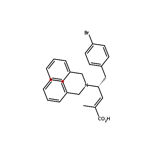 C/C(=C\[C@@H](Cc1ccc(Br)cc1)N(Cc1ccccc1)Cc1ccccc1)C(=O)O